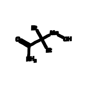 CC[C](CC)([Mo][OH])C(N)=O